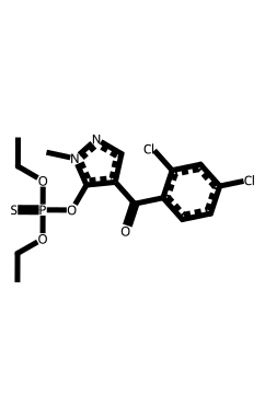 CCOP(=S)(OCC)Oc1c(C(=O)c2ccc(Cl)cc2Cl)cnn1C